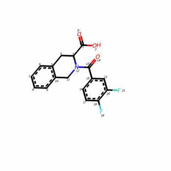 O=C(O)C1Cc2ccccc2CN1C(=O)c1ccc(F)c(F)c1